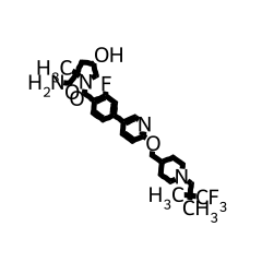 CC1(C(N)=O)CC(O)CN1C(=O)c1ccc(-c2ccc(OCC3CCN(CC(C)(C)C(F)(F)F)CC3)nc2)cc1F